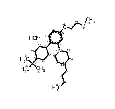 CCCCN1CCN(c2cc(OCCOC)ccc2C2CCC(C(C)(C)C)CC2)CC1.Cl